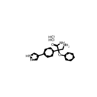 Cl.Cl.NCC(Oc1ccccc1)(C(N)=O)c1ccc(-c2cn[nH]c2)cc1